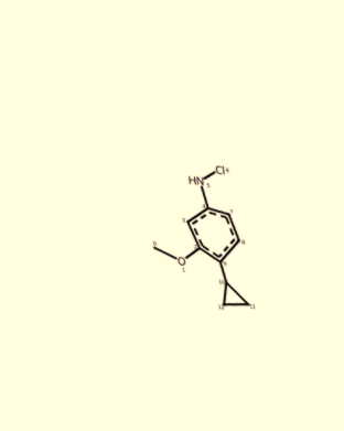 COc1cc(NCl)ccc1C1CC1